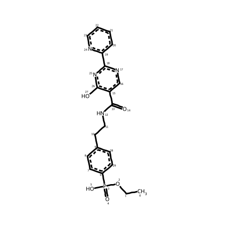 CCOP(=O)(O)c1ccc(CCNC(=O)c2cnc(-c3ccccn3)nc2O)cc1